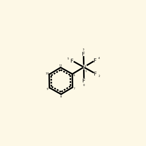 F[I+](F)(F)(F)(F)c1ccccc1